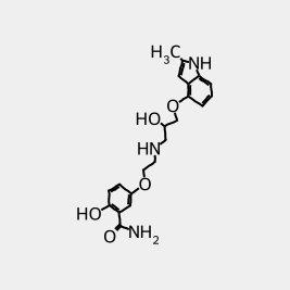 Cc1cc2c(OCC(O)CNCCOc3ccc(O)c(C(N)=O)c3)cccc2[nH]1